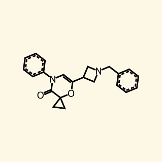 O=C1N(c2ccccc2)C=C(C2CN(Cc3ccccc3)C2)OC12CC2